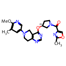 COc1ncc(N2CCc3ncnc(O[C@H]4CCN(C(=O)c5coc(C)n5)C4)c3C2)cc1C